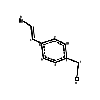 ClCc1ccc(C=CBr)cc1